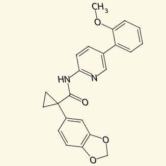 COc1ccccc1-c1ccc(NC(=O)C2(c3ccc4c(c3)OCO4)CC2)nc1